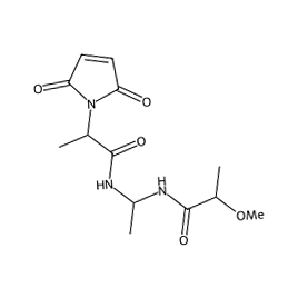 COC(C)C(=O)NC(C)NC(=O)C(C)N1C(=O)C=CC1=O